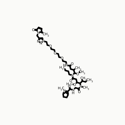 C=C1C=CC(=O)N1Cc1cn(CCOCCOCCOCCNC(=O)CC(C)C(OC)N(CCCC)C(=O)CC(OC)C(C(C)CC)N(C)C(=O)CNC(=O)C2C3CCC(C3)N2C)nn1